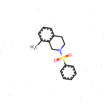 Cc1cccc2c1CN(S(=O)(=O)c1ccccc1)CC2